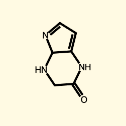 O=C1CNC2N=CC=C2N1